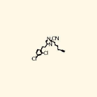 C#CCCCCC1(C#N)N=CC(CCc2ccc(Cl)cc2Cl)=N1